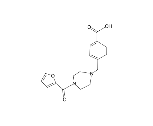 O=C(O)c1ccc(CN2CCN(C(=O)c3ccco3)CC2)cc1